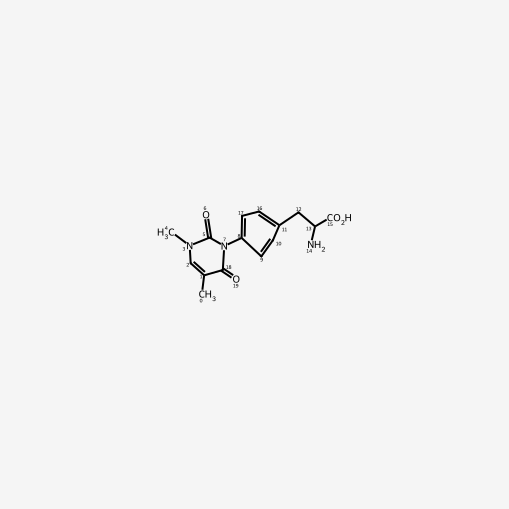 Cc1cn(C)c(=O)n(-c2ccc(CC(N)C(=O)O)cc2)c1=O